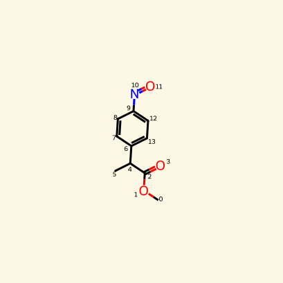 COC(=O)C(C)c1ccc(N=O)cc1